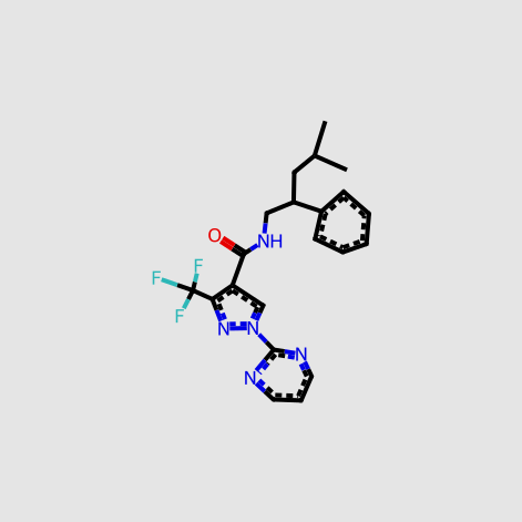 CC(C)CC(CNC(=O)c1cn(-c2ncccn2)nc1C(F)(F)F)c1ccccc1